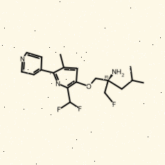 Cc1cc(OC[C@@](N)(CF)CC(C)C)c(C(F)F)nc1-c1ccncc1